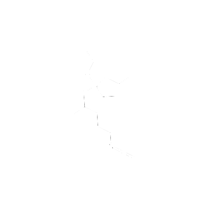 CCO[Si](CC)(OCC)OC(C)CCCN=C=O